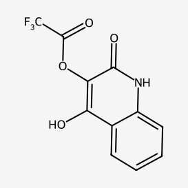 O=C(Oc1c(O)c2ccccc2[nH]c1=O)C(F)(F)F